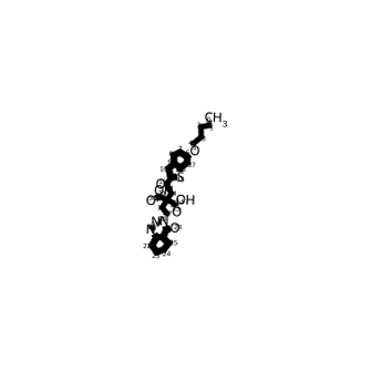 CCCCCOc1ccc2cc(C(=O)CC(CCn3nnc4ccccc4c3=O)(C(=O)O)C(=O)O)sc2c1